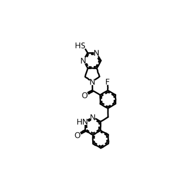 O=C(c1cc(Cc2n[nH]c(=O)c3ccccc23)ccc1F)N1Cc2cnc(S)nc2C1